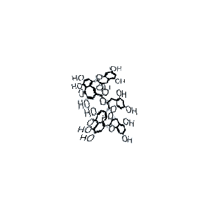 O=C(O[C@@H]1Cc2c(O)cc(O)cc2O[C@@H]1c1cc(O)c(=O)c2c(O)c(O)cc([C@@H]3Oc4cc(O)cc(O)c4C[C@@H]3O)c2c1)c1cc(O)c(=O)c2c(O)c(O)cc([C@H]3Oc4cc(O)cc(O)c4C[C@H]3O)c2c1